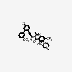 Cc1nc2cc(C(F)(F)F)c(N3CCN(C)CC3)c(C#N)c2c(=O)n1CC#Cc1ccc(Cl)cc1-c1cccc(C(=O)O)c1